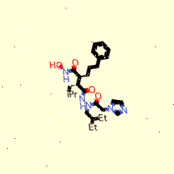 CCC(CC)CN(NC(=O)[C@H](CC(C)C)[C@H](CCCc1ccccc1)C(=O)NO)C(=O)Cn1ccnc1